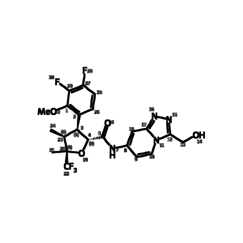 COc1c([C@H]2[C@H](C(=O)Nc3ccn4c(CO)nnc4c3)O[C@@](C)(C(F)(F)F)[C@H]2C)ccc(F)c1F